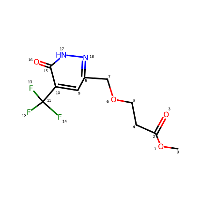 COC(=O)CCOCc1cc(C(F)(F)F)c(=O)[nH]n1